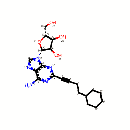 Nc1nc(C#CCCC2CCCCC2)nc2c1ncn2[C@@H]1O[C@H](CO)C(O)C1O